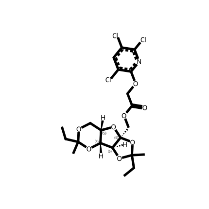 CCC1(C)OC[C@@H]2O[C@@]3(COC(=O)COc4nc(Cl)c(Cl)cc4Cl)OC(C)(CC)O[C@H]3[C@@H]2O1